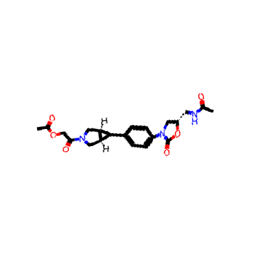 CC(=O)NC[C@H]1CN(c2ccc(C3[C@H]4CN(C(=O)COC(C)=O)C[C@@H]34)cc2)C(=O)O1